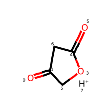 O=C1COC(=O)C1.[H+]